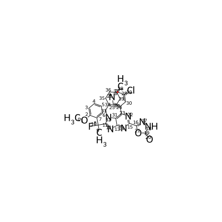 COc1ccccc1C(C)(F)c1nc2nc(-c3n[nH]c(=O)o3)nc(-c3cncc(Cl)c3)c2n1CC1CCC(C)CC1